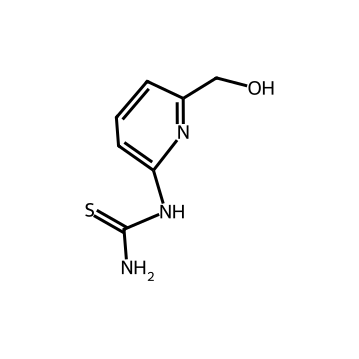 NC(=S)Nc1cccc(CO)n1